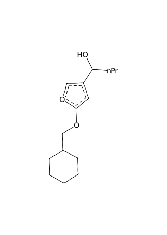 CCCC(O)c1coc(OCC2CCCCC2)c1